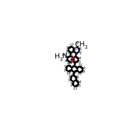 C=C/C=C\C(c1ccc(-c2c3ccccc3c(-c3ccc4ccccc4c3)c3ccccc23)cc1)c1ccccc1-c1cnccc1N